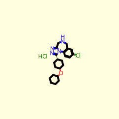 Cl.Clc1ccc2c(c1)CNCc1nnc([C@H]3CC[C@H](OC4CCCCC4)CC3)n1-2